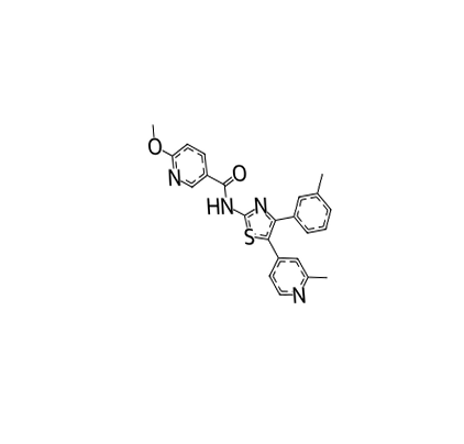 COc1ccc(C(=O)Nc2nc(-c3cccc(C)c3)c(-c3ccnc(C)c3)s2)cn1